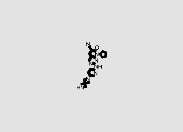 N#Cc1cc2cnc(Nc3ccc(N4CC5(CNC5)C4)cn3)nc2n(C2CCCC2)c1=O